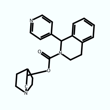 O=C(OC1CN2CCC1CC2)N1CCc2ccccc2C1c1ccncc1